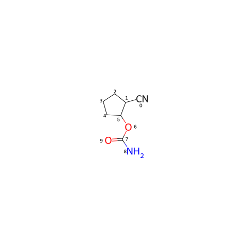 N#CC1CCCC1OC(N)=O